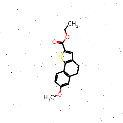 CCOC(=O)c1cc2c(s1)-c1ccc(OC)cc1CC2